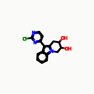 OC1Cc2c(-c3ccnc(Cl)n3)c3ccccc3n2CC1O